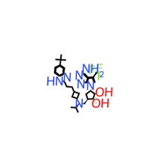 CC(C)N(C[C@H]1C[C@@H](n2cc(C(F)(F)F)c3c(N)ncnc32)[C@H](O)[C@@H]1O)C1CC(CCc2nc3cc(C(C)(C)C)ccc3[nH]2)C1